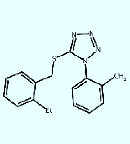 CCc1ccccc1CSc1nnnn1-c1ccccc1C